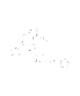 Cc1nnc2n1-c1sc(C(C)OC(=O)/C=C/c3ccccc3)cc1C(c1ccccc1Cl)=NC2